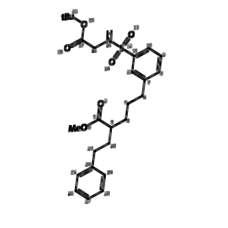 COC(=O)C(CCCc1cccc(S(=O)(=O)NCC(=O)OC(C)(C)C)c1)CCc1ccccc1